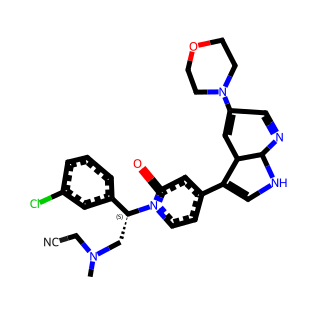 CN(CC#N)C[C@H](c1cccc(Cl)c1)n1ccc(C2=CNC3N=CC(N4CCOCC4)=CC23)cc1=O